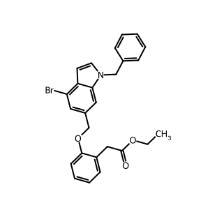 CCOC(=O)Cc1ccccc1OCc1cc(Br)c2ccn(Cc3ccccc3)c2c1